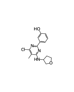 Cc1c(Cl)nc(-c2cccc(O)c2)nc1NC1CCOC1